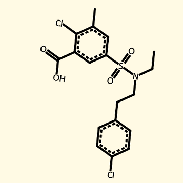 CCN(CCc1ccc(Cl)cc1)S(=O)(=O)c1cc(C)c(Cl)c(C(=O)O)c1